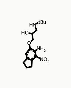 CC(C)(C)NCC(O)COc1cc2c(c([N+](=O)[O-])c1N)CCC2